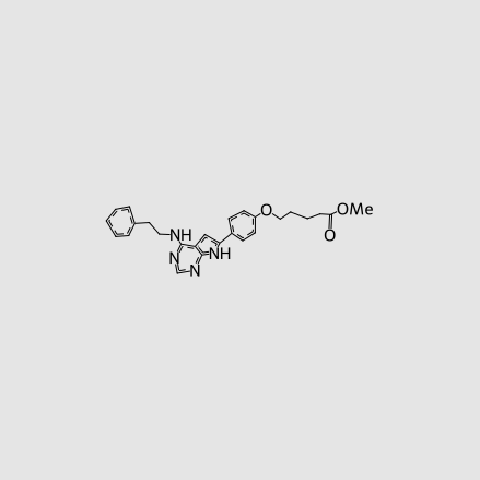 COC(=O)CCCCOc1ccc(-c2cc3c(NCCc4ccccc4)ncnc3[nH]2)cc1